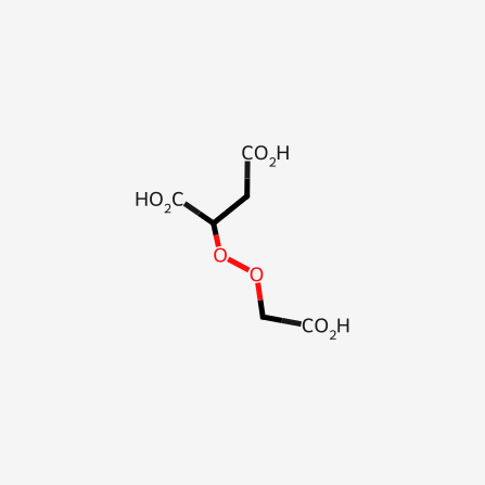 O=C(O)COOC(CC(=O)O)C(=O)O